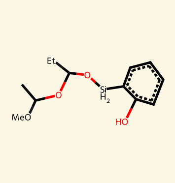 CCC(O[SiH2]c1ccccc1O)OC(C)OC